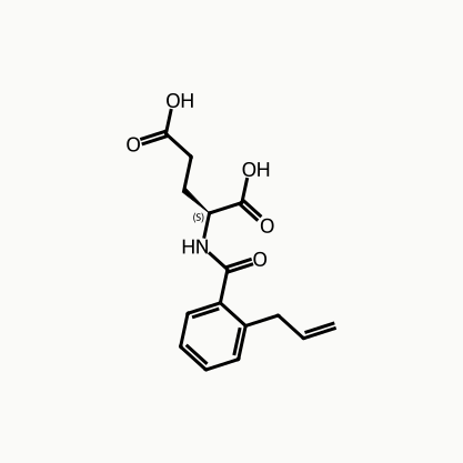 C=CCc1ccccc1C(=O)N[C@@H](CCC(=O)O)C(=O)O